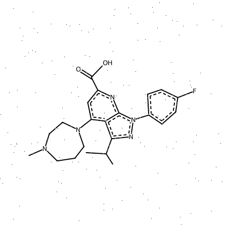 CC(C)c1nn(-c2ccc(F)cc2)c2nc(C(=O)O)cc(N3CCCN(C)CC3)c12